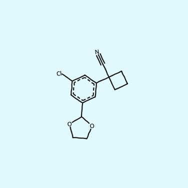 N#CC1(c2cc(Cl)cc(C3OCCO3)c2)CCC1